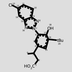 CC(CC(=O)O)c1cc(-n2nc3ccc(Cl)cc3n2)c(O)c(C(C)(C)C)c1